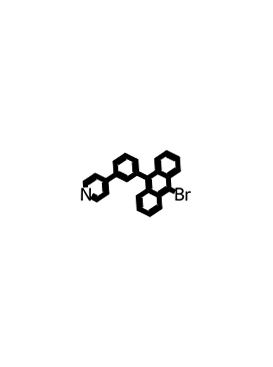 Brc1c2ccccc2c(-c2cccc(-c3ccncc3)c2)c2ccccc12